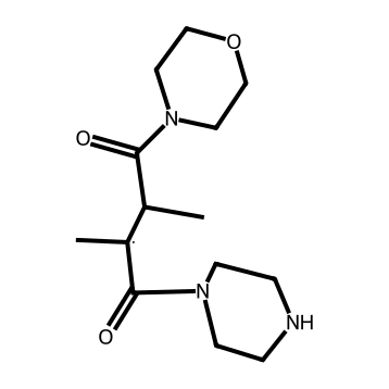 C[C](C(=O)N1CCNCC1)C(C)C(=O)N1CCOCC1